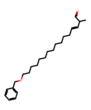 CC(C=O)/C=C/CCCCCCCCCCCCOCc1ccccc1